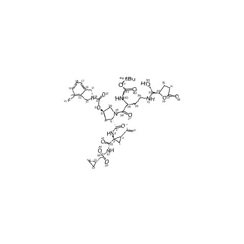 C=CC1C[C@]1(NC(=O)[C@@H]1C[C@@H](OC(=O)N2Cc3cccc(F)c3C2)CN1C(=O)[C@H](CCNC(O)[C@H]1CCC(=O)O1)NC(=O)OC(C)(C)C)C(=O)NS(=O)(=O)C1CC1